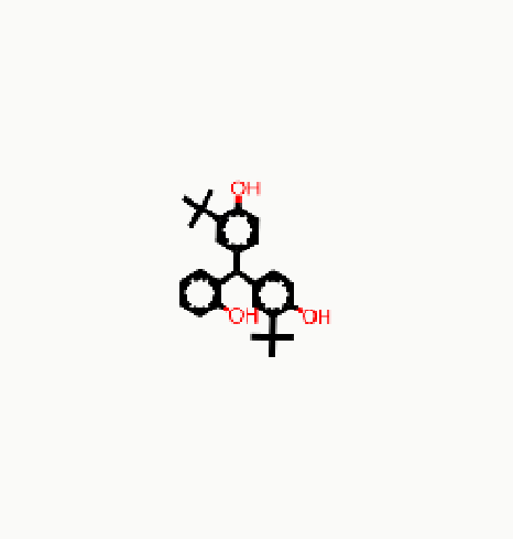 CC(C)(C)c1cc(C(c2ccc(O)c(C(C)(C)C)c2)c2ccccc2O)ccc1O